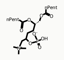 CCCCCC(=O)OC[C@H](CCC(C[N+](C)(C)C)OP(=O)([O-])O)OC(=O)CCCCC